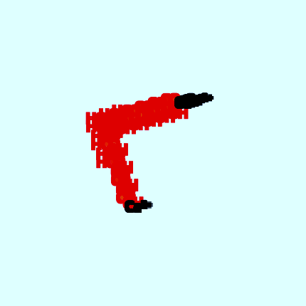 O=P(O)(O)OO.O=P(O)(O)OO.O=P(O)(O)OO.O=P(O)(O)OO.O=P(O)(O)OO.O=P([O-])([O-])OO.O=P([O-])([O-])OO.O=P([O-])([O-])OO.O=P([O-])([O-])OO.O=P([O-])([O-])OO.[Ca+2].[Ca+2].[Ca+2].[Ca+2].[Ca+2]